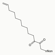 C=CCCCCCCCCC(=O)C(=O)CCCCCCCCCC